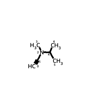 C#CN(C)C(C)C